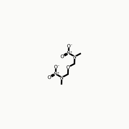 CN(COCN(C)[N+](=O)[O-])[N+](=O)[O-]